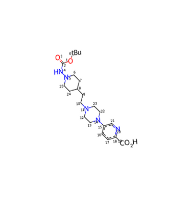 CC(C)(C)OC(=O)NN1CCC(CCN2CCN(c3ccc(C(=O)O)nc3)CC2)CC1